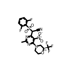 Cc1nc(C(C#N)S(=O)(=O)c2c(F)cccc2F)c([N+](=O)[O-])c(N2CCO[C@H](C(F)(F)F)C2)n1